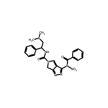 CN(C)CC(NC(=O)N1C=C2C(=NN=C2N(C(=O)c2ccccc2)[N+](=O)[O-])C1)c1ccccc1